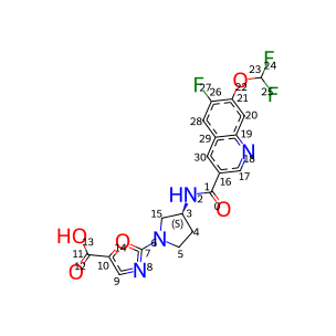 O=C(N[C@H]1CCN(c2ncc(C(=O)O)o2)C1)c1cnc2cc(OC(F)F)c(F)cc2c1